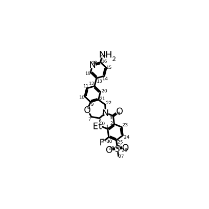 CCc1c(C(=O)N2CCOc3ccc(-c4ccc(N)nc4)cc3C2)ccc(S(C)(=O)=O)c1F